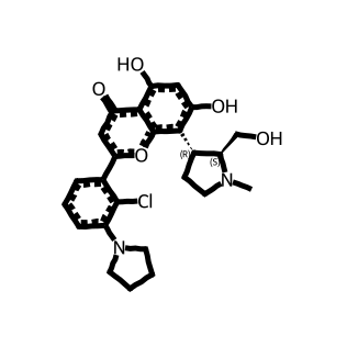 CN1CC[C@H](c2c(O)cc(O)c3c(=O)cc(-c4cccc(N5CCCC5)c4Cl)oc23)[C@H]1CO